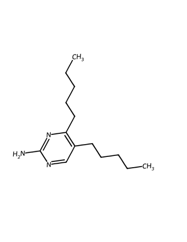 CCCCCc1cnc(N)nc1CCCCC